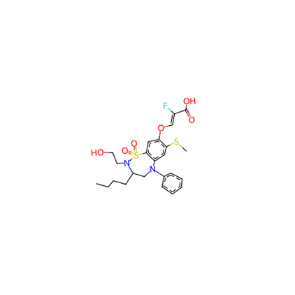 CCCCC1CN(c2ccccc2)c2cc(SC)c(O/C=C(\F)C(=O)O)cc2S(=O)(=O)N1CCO